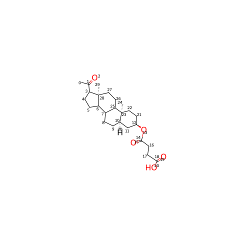 CC(=O)C1CCC2C3CC[C@@H]4C[C@H](OC(=O)CCC(=O)O)CC[C@]4(C)C3CC[C@]12C